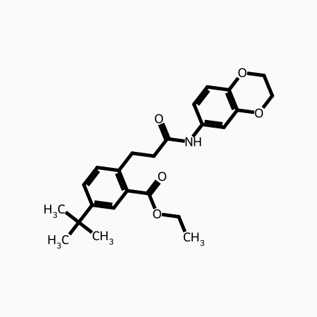 CCOC(=O)c1cc(C(C)(C)C)ccc1CCC(=O)Nc1ccc2c(c1)OCCO2